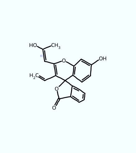 C=CC1=C(/C=C(\C)O)Oc2cc(O)ccc2C12OC(=O)c1ccccc12